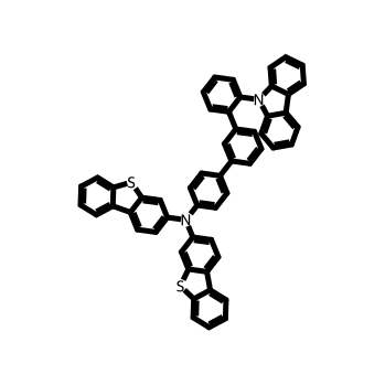 c1cc(-c2ccc(N(c3ccc4c(c3)sc3ccccc34)c3ccc4c(c3)sc3ccccc34)cc2)cc(-c2ccccc2-n2c3ccccc3c3ccccc32)c1